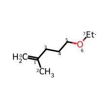 C=C(C)CCCO[CH]C